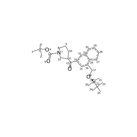 CC(C)(C)OC(=O)N1CCCC(C(=O)c2cc(CO[Si](C)(C)C(C)(C)C)c3ccccc3c2)C1